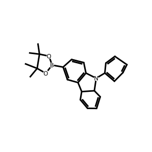 CC1(C)OB(c2ccc3c(c2)C2C=CC=CC2N3c2ccccc2)OC1(C)C